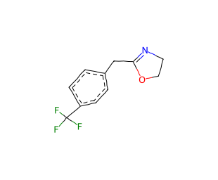 FC(F)(F)c1ccc(CC2=NCCO2)cc1